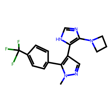 Cn1ncc(-c2[nH]cnc2N2CCC2)c1-c1ccc(C(F)(F)F)cc1